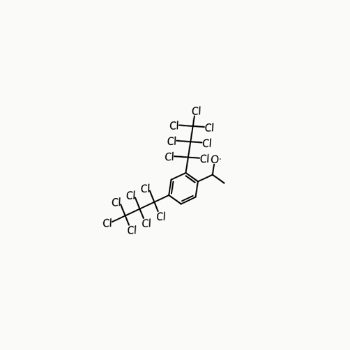 CC([O])c1ccc(C(Cl)(Cl)C(Cl)(Cl)C(Cl)(Cl)Cl)cc1C(Cl)(Cl)C(Cl)(Cl)C(Cl)(Cl)Cl